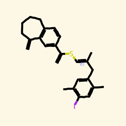 C=C(S/C=C(\C)Cc1cc(C)c(I)cc1C)c1ccc2c(c1)C(=C)CCCC2